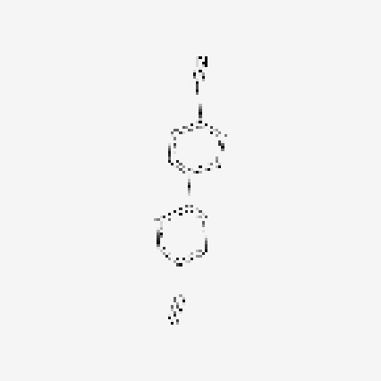 C#Cc1ccc(-c2ccc(C#N)cc2)cc1